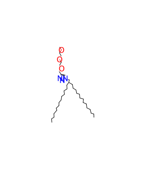 CCCCCCCCCCCCCCC(CCCCCCCCCCCCCC)Cn1cc(COCCOCCOC)nn1